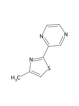 Cc1csc(-c2cnccn2)n1